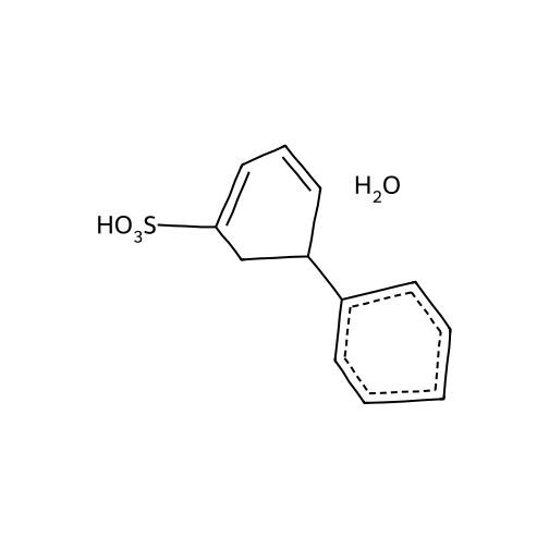 O.O=S(=O)(O)C1=CC=CC(c2ccccc2)C1